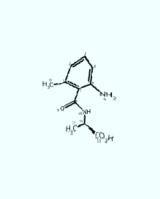 Cc1cccc(N)c1C(=O)N[C@H](C)C(=O)O